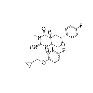 CN1C(=N)N[C@@]2(c3cc(OCC4CC4)ccc3F)CO[C@@H](c3ccc(F)cc3)C[C@H]2C1=O